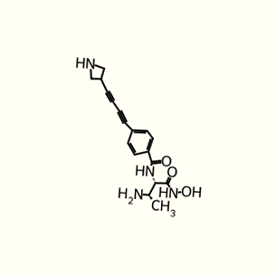 C[C@@H](N)[C@H](NC(=O)c1ccc(C#CC#CC2CNC2)cc1)C(=O)NO